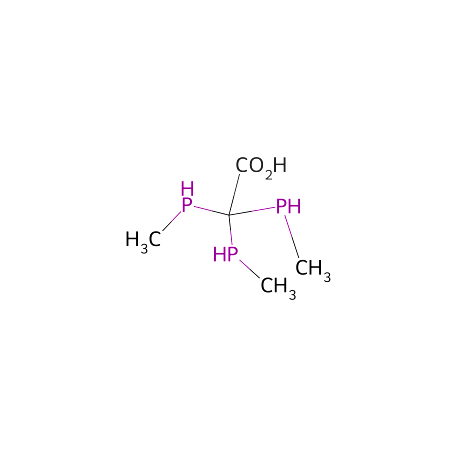 CPC(PC)(PC)C(=O)O